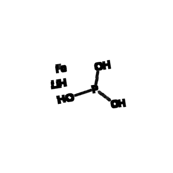 OP(O)O.[Fe].[LiH]